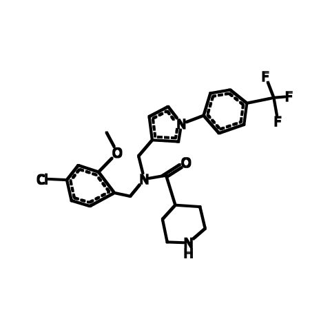 COc1cc(Cl)ccc1CN(Cc1ccn(-c2ccc(C(F)(F)F)cc2)c1)C(=O)C1CCNCC1